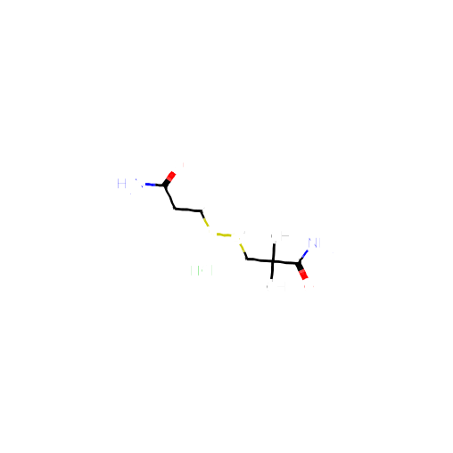 CC(C)(CSSCCC(N)=O)C(N)=O.Cl